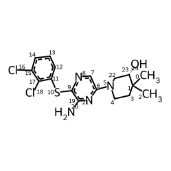 CC1(C)CCN(c2cnc(Sc3cccc(Cl)c3Cl)c(N)n2)C[C@@H]1O